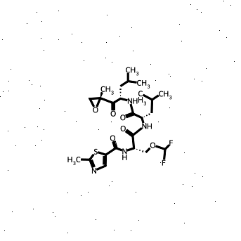 Cc1ncc(C(=O)N[C@@H](COC(F)F)C(=O)N[C@@H](CC(C)C)C(=O)N[C@@H](CC(C)C)C(=O)[C@@]2(C)CO2)s1